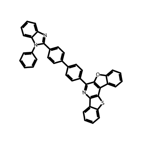 c1ccc(-n2c(-c3ccc(-c4ccc(-c5nc6c7ccccc7sc6c6c5oc5ccccc56)cc4)cc3)nc3ccccc32)cc1